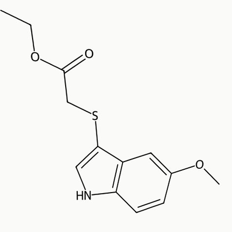 CCOC(=O)CSc1c[nH]c2ccc(OC)cc12